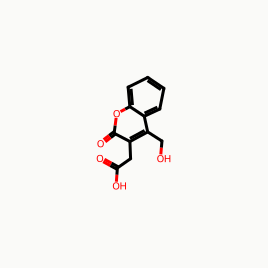 O=C(O)Cc1c(CO)c2ccccc2oc1=O